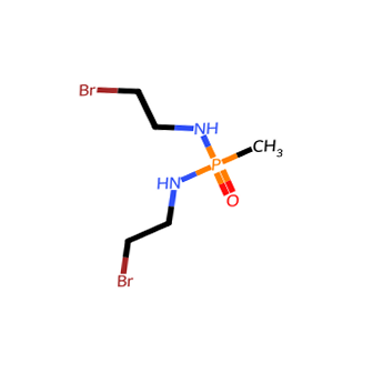 CP(=O)(NCCBr)NCCBr